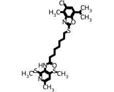 CSc1cc(C)nc(SC)c1NC(=O)CCCCCCCSc1nc2c(C)c(Cl)cc(C(C)C)c2o1